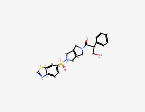 O=C(C(CO)c1ccccc1)N1CC2=C(C1)CN(S(=O)(=O)c1ccc3ncsc3c1)C2